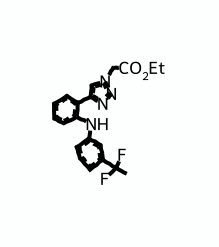 CCOC(=O)Cn1cc(-c2ccccc2Nc2cccc(C(C)(F)F)c2)nn1